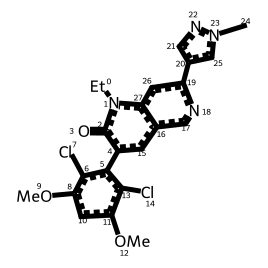 CCn1c(=O)c(-c2c(Cl)c(OC)cc(OC)c2Cl)cc2cnc(-c3cnn(C)c3)cc21